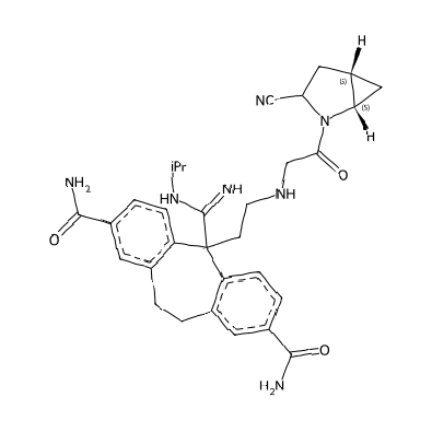 CC(C)NC(=N)C1(CCNCC(=O)N2C(C#N)C[C@@H]3C[C@@H]32)c2ccc(C(N)=O)cc2CCc2cc(C(N)=O)ccc21